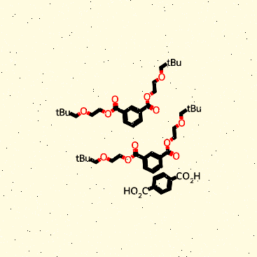 CC(C)(C)COCCOC(=O)c1cccc(C(=O)OCCOCC(C)(C)C)c1.CC(C)(C)COCCOC(=O)c1cccc(C(=O)OCCOCC(C)(C)C)c1.O=C(O)c1ccc(C(=O)O)cc1